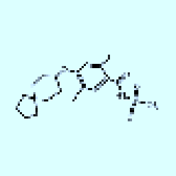 CS(=O)(=O)NC(=O)c1cc(Cl)c(OC2CCC3(CCCC3)CC2)cc1F